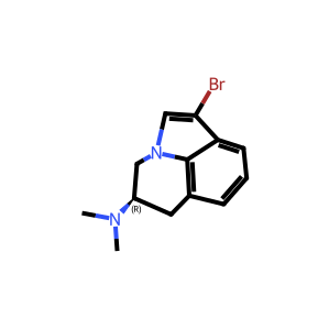 CN(C)[C@@H]1Cc2cccc3c(Br)cn(c23)C1